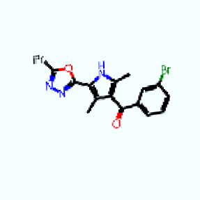 Cc1[nH]c(-c2nnc(C(C)C)o2)c(C)c1C(=O)c1cccc(Br)c1